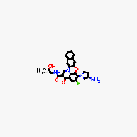 C[C@@H](O)CNC(=O)c1cn2c3c(c(N4CCC(N)C4)c(F)cc3c1=O)Oc1cc3ccccc3cc1-2